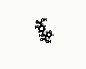 O=C(O)c1ccc(NC2(C(=O)O)CCOC2)cc1F